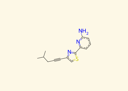 CC(C)CC#Cc1csc(-c2cccc(N)n2)n1